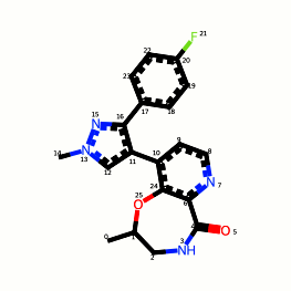 CC1CNC(=O)c2nccc(-c3cn(C)nc3-c3ccc(F)cc3)c2O1